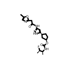 Cc1cnc(CC(=O)Nc2cc([C@H]3CC[C@@H](OC(=O)N[C@@H](C)[C@@H](C)F)C3)[nH]n2)o1